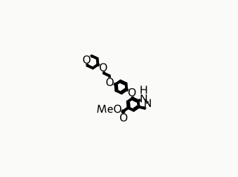 COC(=O)c1cc(Oc2ccc(OCCOC3CCOCC3)cc2)c2[nH]ncc2c1